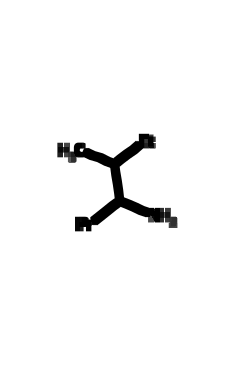 CCC(C)C(N)C(C)C